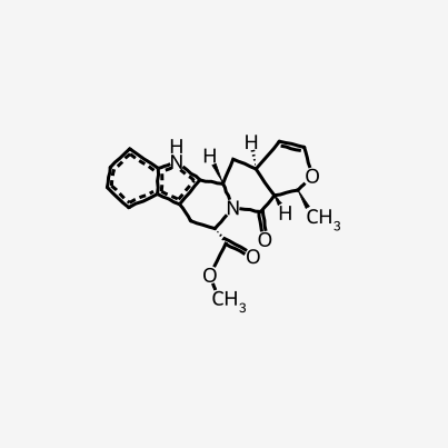 COC(=O)[C@@H]1Cc2c([nH]c3ccccc23)[C@@H]2C[C@H]3C=CO[C@@H](C)[C@@H]3C(=O)N12